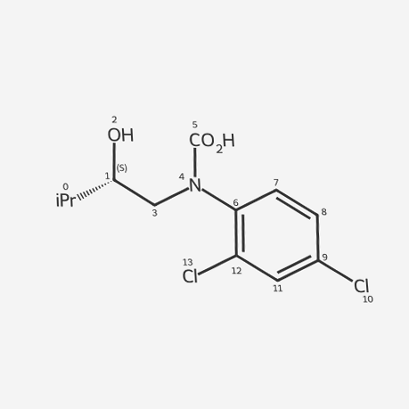 CC(C)[C@H](O)CN(C(=O)O)c1ccc(Cl)cc1Cl